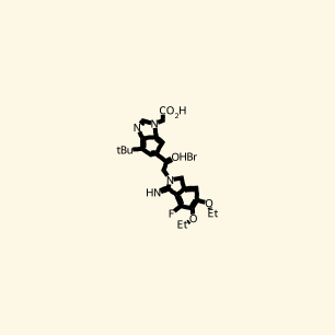 Br.CCOc1cc2c(c(F)c1OCC)C(=N)N(CC(=O)c1cc(C(C)(C)C)c3ncn(CC(=O)O)c3c1)C2